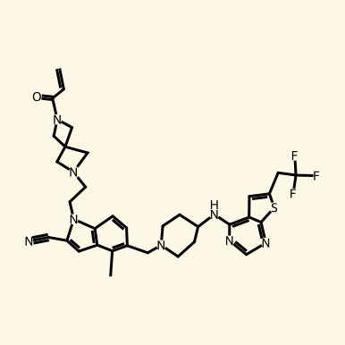 C=CC(=O)N1CC2(CN(CCn3c(C#N)cc4c(C)c(CN5CCC(Nc6ncnc7sc(CC(F)(F)F)cc67)CC5)ccc43)C2)C1